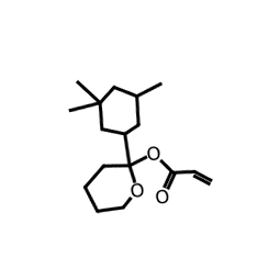 C=CC(=O)OC1(C2CC(C)CC(C)(C)C2)CCCCO1